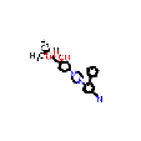 CC(C)(C)OC(=O)CC1(O)CCC(N2CCN(c3ccc(C#N)cc3-c3ccccc3)CC2)CC1